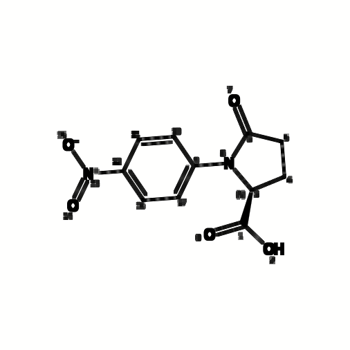 O=C(O)[C@@H]1CCC(=O)N1c1ccc([N+](=O)[O-])cc1